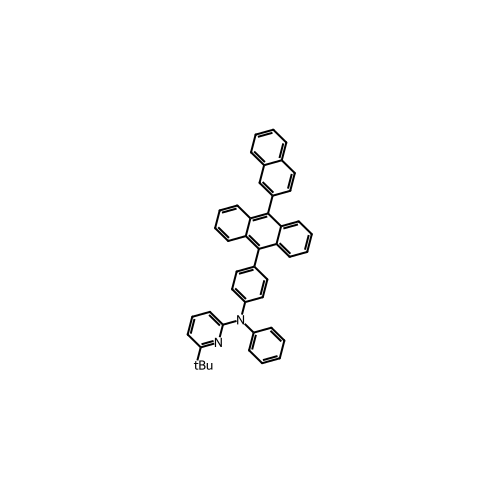 CC(C)(C)c1cccc(N(c2ccccc2)c2ccc(-c3c4ccccc4c(-c4ccc5ccccc5c4)c4ccccc34)cc2)n1